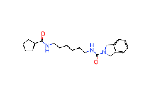 O=C(NCCCCCCNC(=O)N1Cc2ccccc2C1)C1CCCC1